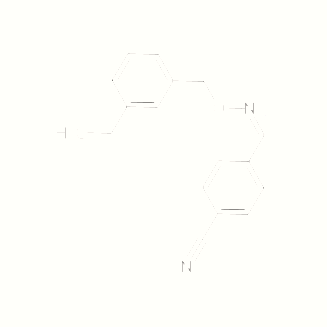 CCc1cccc(CO/N=[C]\c2ccc(C#N)cc2)c1